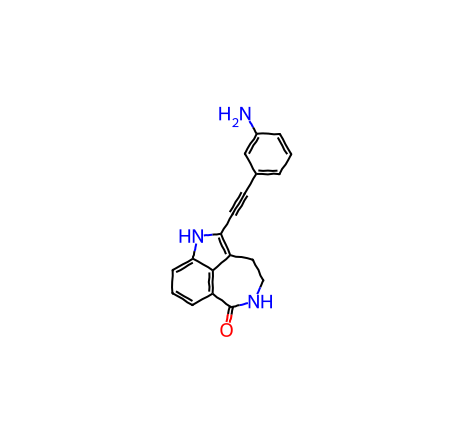 Nc1cccc(C#Cc2[nH]c3cccc4c3c2CCNC4=O)c1